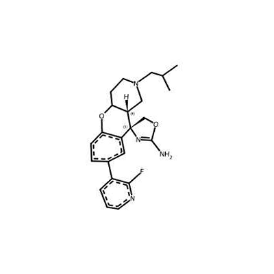 CC(C)CN1CCC2Oc3ccc(-c4cccnc4F)cc3[C@]3(COC(N)=N3)[C@H]2C1